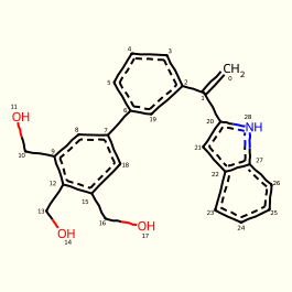 C=C(c1cccc(-c2cc(CO)c(CO)c(CO)c2)c1)c1cc2ccccc2[nH]1